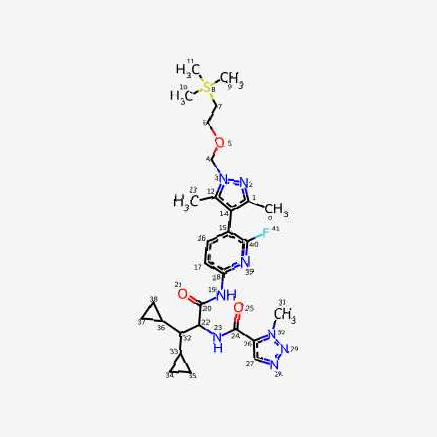 Cc1nn(COCCS(C)(C)C)c(C)c1-c1ccc(NC(=O)C(NC(=O)c2cnnn2C)C(C2CC2)C2CC2)nc1F